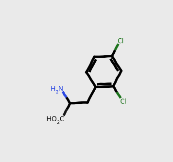 NC(Cc1ccc(Cl)cc1Cl)C(=O)O